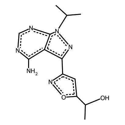 CC(O)c1cc(-c2nn(C(C)C)c3ncnc(N)c23)no1